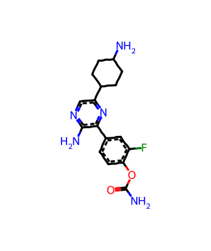 NC(=O)Oc1ccc(-c2nc(C3CCC(N)CC3)cnc2N)cc1F